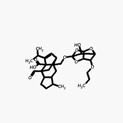 CCCOC1C2OC3(OCC45CC6C(C)CCC6C6(C=O)CC4C=C(C(C)C)C65C(=O)O)OC2OC1C3O